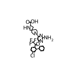 Nc1nc(O[C@H](c2ccc(Cl)cc2-c2ccccc2)C(F)(F)F)cc(N2CCC3(CC2)CNC(C(=O)O)C3)n1